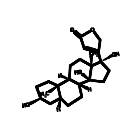 C[C@]12CC[C@H](O)C[C@H]1CC[C@@H]1[C@@H]2CC[C@]2(C)[C@@](O)(C3=CC(=O)OC3)CC[C@]12O